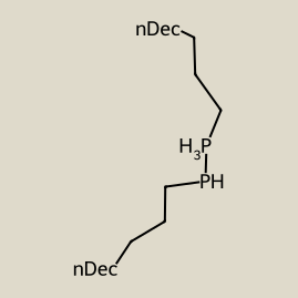 CCCCCCCCCCCCCP[PH3]CCCCCCCCCCCCC